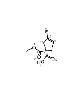 COC(=O)C1(C(=O)O)CC=C(F)C1